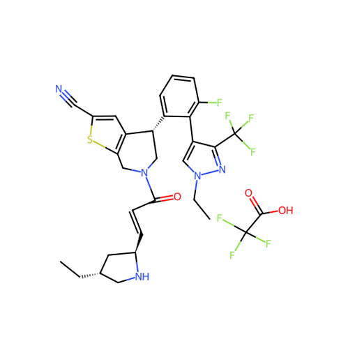 CC[C@H]1CN[C@H](/C=C/C(=O)N2Cc3sc(C#N)cc3[C@H](c3cccc(F)c3-c3cn(CC)nc3C(F)(F)F)C2)C1.O=C(O)C(F)(F)F